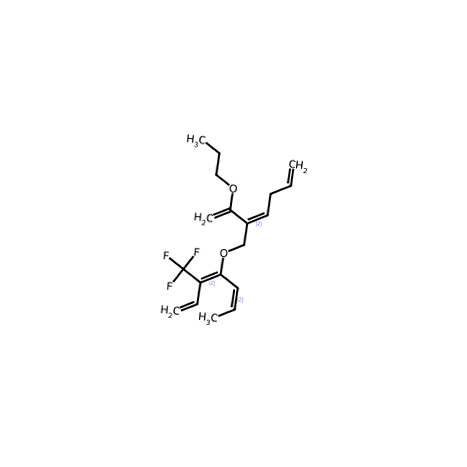 C=CC/C=C(/COC(/C=C\C)=C(/C=C)C(F)(F)F)C(=C)OCCC